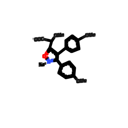 COc1ccc(-c2noc(C(OC)C(=O)[O-])c2-c2ccc(OC)cc2)cc1.[Na+]